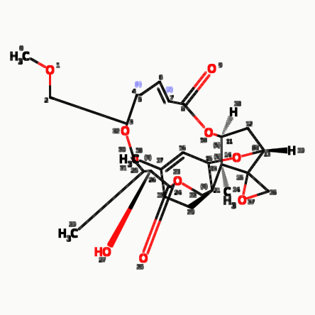 COCC1/C=C/C=C\C(=O)O[C@H]2C[C@H]3OC4C=C(C)CC[C@]4(COC(=O)[C@H](O)C(C)CCO1)[C@]2(C)C31CO1